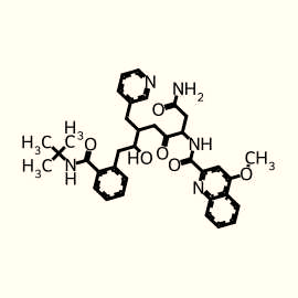 COc1cc(C(=O)NC(CC(N)=O)C(=O)CC(Cc2cccnc2)C(O)Cc2ccccc2C(=O)NC(C)(C)C)nc2ccccc12